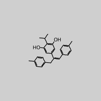 Cc1ccc(/C=C(/Cc2ccc(C)cc2)c2cc(O)c(C(C)C)c(O)c2)cc1